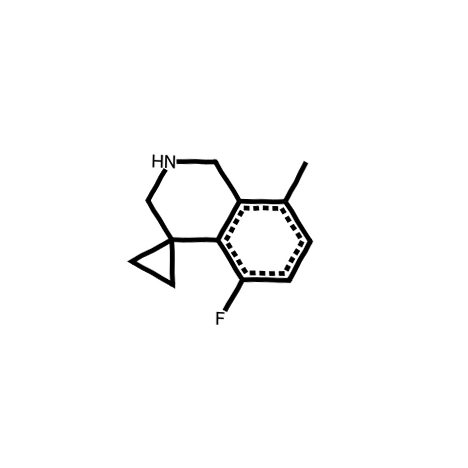 Cc1ccc(F)c2c1CNCC21CC1